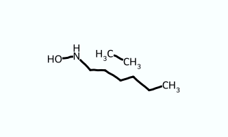 CC.CCCCCCNO